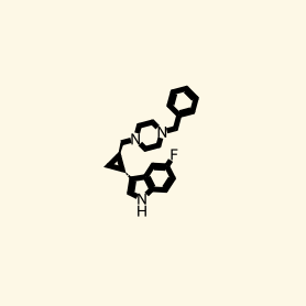 Fc1ccc2[nH]cc([C@@H]3C[C@H]3CN3CCN(Cc4ccccc4)CC3)c2c1